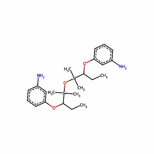 CCC(Oc1cccc(N)c1)[Si](C)(C)O[Si](C)(C)C(CC)Oc1cccc(N)c1